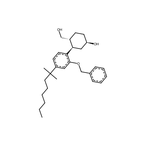 CCCCCCC(C)(C)c1ccc([C@@H]2C[C@H](O)CC[C@H]2CO)c(OCc2ccccc2)c1